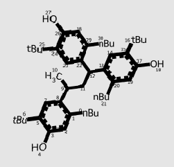 CCCCc1cc(O)c(C(C)(C)C)cc1C(C)CC(c1cc(C(C)(C)C)c(O)cc1CCCC)c1cc(C(C)(C)C)c(O)cc1CCCC